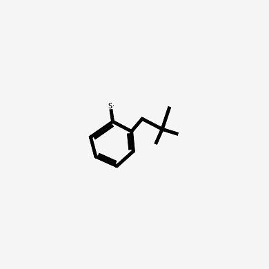 CC(C)(C)Cc1ccccc1[S]